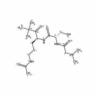 CC(=O)NCSC[C@H](NC(=O)[C@H](CO)NC(=O)CN(C)C)C(=O)C(C)(C)C